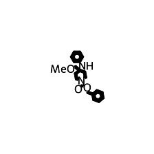 COCC1(Nc2ccccc2)CCN(C(=O)OCc2ccccc2)CC1